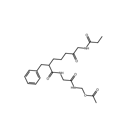 CCC(=O)NCC(=O)CCCC(Cc1ccccc1)C(=O)NCC(=O)NCOC(C)=O